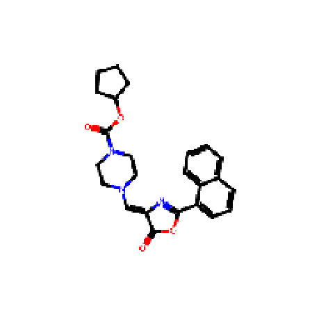 O=C1OC(c2cccc3ccccc23)=NC1=CN1CCN(C(=O)OC2CCCC2)CC1